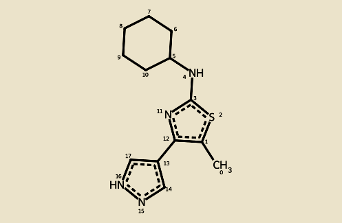 Cc1sc(NC2CCCCC2)nc1-c1cn[nH]c1